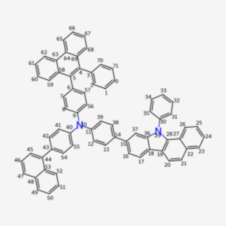 c1ccc(-c2c(-c3ccc(N(c4ccc(-c5ccc6c7ccc8ccccc8c7n(-c7ccccc7)c6c5)cc4)c4ccc(-c5cccc6ccccc56)cc4)cc3)c3ccccc3c3ccccc23)cc1